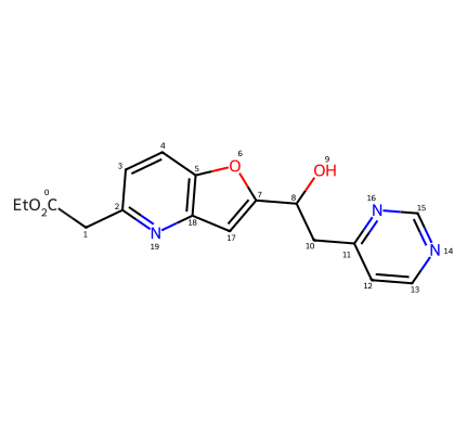 CCOC(=O)Cc1ccc2oc(C(O)Cc3ccncn3)cc2n1